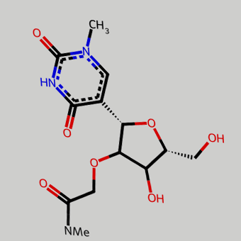 CNC(=O)COC1C(O)[C@@H](CO)O[C@H]1c1cn(C)c(=O)[nH]c1=O